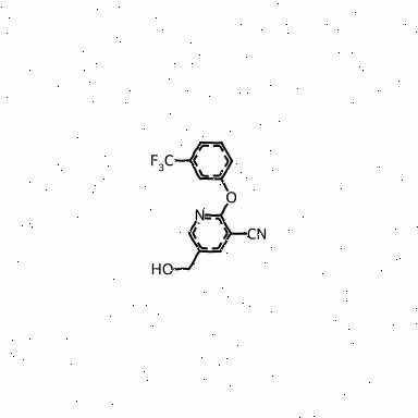 N#Cc1cc(CO)cnc1Oc1cccc(C(F)(F)F)c1